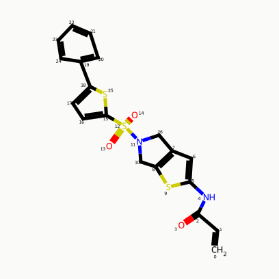 C=CC(=O)Nc1cc2c(s1)CN(S(=O)(=O)c1ccc(-c3ccccc3)s1)C2